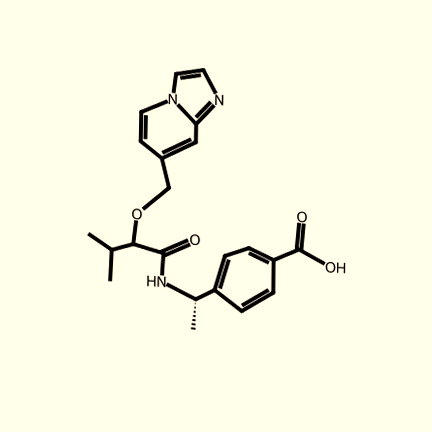 CC(C)C(OCc1ccn2ccnc2c1)C(=O)N[C@@H](C)c1ccc(C(=O)O)cc1